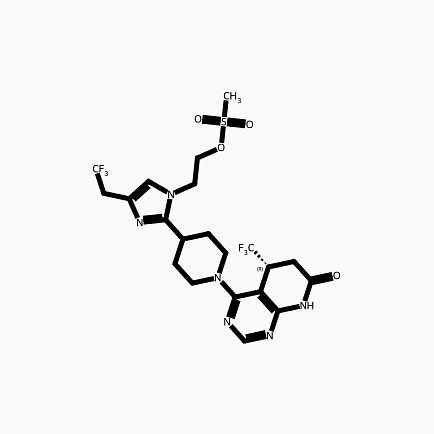 CS(=O)(=O)OCCn1cc(CC(F)(F)F)nc1C1CCN(c2ncnc3c2[C@H](C(F)(F)F)CC(=O)N3)CC1